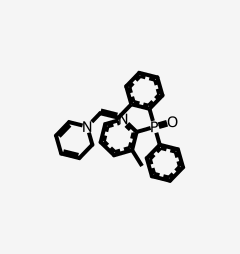 Cc1cccnc1P(=O)(c1ccccc1)c1ccccc1C=CN1C=CC=CC1